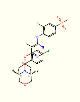 Cc1c(Nc2ccc(S(C)(=O)=O)cc2F)ncnc1O[C@H]1C[C@H]2COC[C@@H](C1)N2Cc1ccc(F)cc1